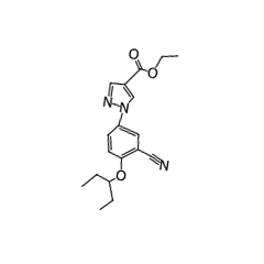 CCOC(=O)c1cnn(-c2ccc(OC(CC)CC)c(C#N)c2)c1